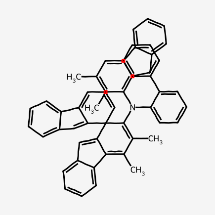 CC1=C2C(=Cc3ccccc32)C2(C=CC=C3C2=Cc2ccccc23)C(N(c2ccccc2-c2ccccc2)c2c(C)c(C)cc3c2Cc2ccccc2-3)=C1C